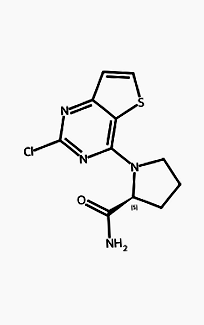 NC(=O)[C@@H]1CCCN1c1nc(Cl)nc2ccsc12